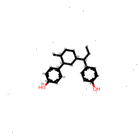 CCC(c1ccc(O)cc1)C1CCC(C)C(c2ccc(O)cc2)C1